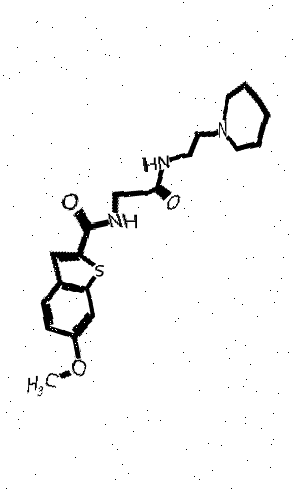 COc1ccc2cc(C(=O)NCC(=O)NCCN3CCCCC3)sc2c1